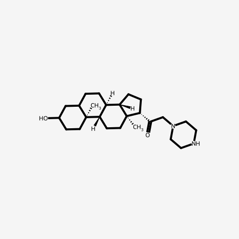 C[C@]12CC[C@H]3[C@@H](CCC4CC(O)CC[C@@]43C)[C@@H]1CC[C@@H]2C(=O)CN1CCNCC1